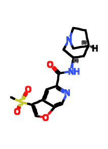 CS(=O)(=O)c1coc2cnc(C(=O)N[C@@H]3C[C@@H]4CCN(C4)C3)cc12